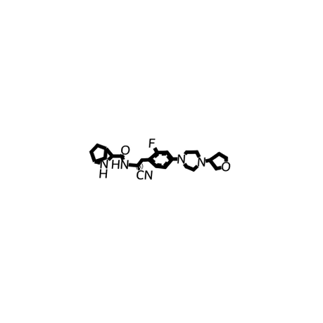 N#C[C@H](Cc1ccc(N2CCN(C3CCOC3)CC2)cc1F)NC(=O)C1NC2CCC1C2